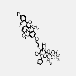 CC(C)(C)OC(=O)N[C@@H](CCCOc1cc(F)c(-n2c(N)c(C(=O)c3ccc(F)cc3F)ccc2=O)c(F)c1)C(=O)OC1CCCC1